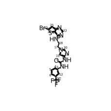 O=C(Nc1cccc(C(F)(F)F)c1)Nc1cn(CCNc2ncnc3cc(Br)sc23)cn1